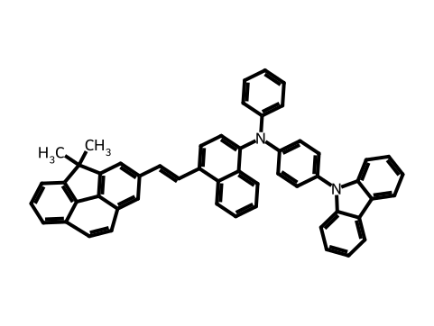 CC1(C)c2cccc3ccc4cc(/C=C/c5ccc(N(c6ccccc6)c6ccc(-n7c8ccccc8c8ccccc87)cc6)c6ccccc56)cc1c4c23